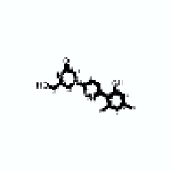 Cc1cc(C)c(-c2ccc(N3CC(=O)NC(CO)C3)nn2)c(O)c1